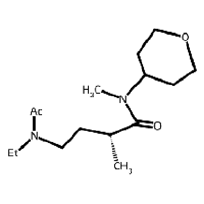 CCN(CC[C@@H](C)C(=O)N(C)C1CCOCC1)C(C)=O